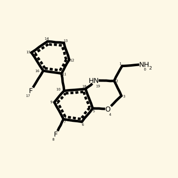 NCC1COc2cc(F)cc(-c3ccccc3F)c2N1